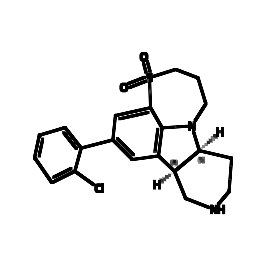 O=S1(=O)CCCN2c3c(cc(-c4ccccc4Cl)cc31)[C@@H]1CNCC[C@@H]12